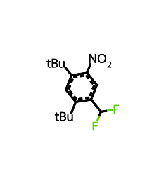 CC(C)(C)c1cc(C(C)(C)C)c([N+](=O)[O-])cc1C(F)F